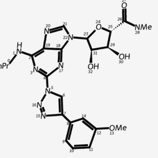 CCCNc1nc(-n2cc(-c3cccc(OC)c3)nn2)nc2c1ncn2C1O[C@H](C(=O)NC)[C@@H](O)[C@H]1O